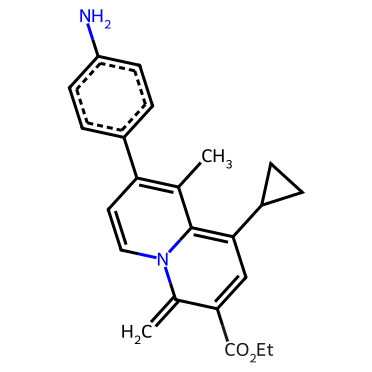 C=C1C(C(=O)OCC)=CC(C2CC2)=C2C(C)=C(c3ccc(N)cc3)C=CN12